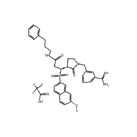 COc1ccc2ccc(S(=O)(=O)N(CC(=O)NCCCc3ccccc3)[C@H]3CCN(Cc4cccc(C(=N)N)c4)C3=O)cc2c1.O=C(O)C(F)(F)F